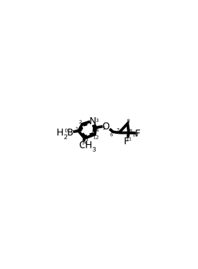 Bc1cnc(OCC2CC2(F)F)cc1C